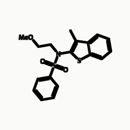 COCCN(c1sc2ccccc2c1C)S(=O)(=O)c1ccccc1